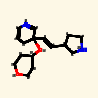 C1=CN=C[C@@](/C=C/C2CCNC2)(OC2CCOCC2)C1